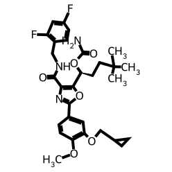 COc1ccc(-c2nc(C(=O)NCc3ccc(F)cc3F)c([C@H](CCC(C)(C)C)OC(N)=O)o2)cc1OCC1CC1